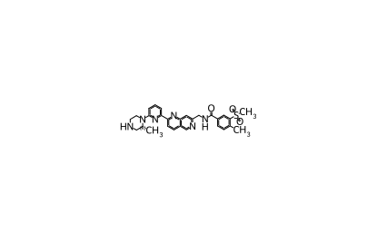 Cc1ccc(C(=O)NCc2cc3nc(-c4cccc(N5CCNC[C@H]5C)n4)ccc3cn2)cc1S(C)(=O)=O